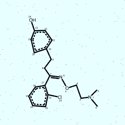 CN(C)CCON=C(CCc1ccc(O)cc1)c1ccccc1Cl